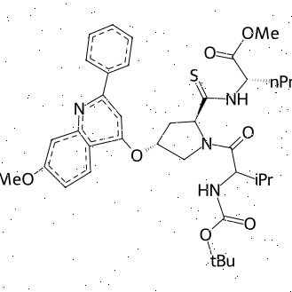 CCC[C@H](NC(=S)[C@@H]1C[C@@H](Oc2cc(-c3ccccc3)nc3cc(OC)ccc23)CN1C(=O)C(NC(=O)OC(C)(C)C)C(C)C)C(=O)OC